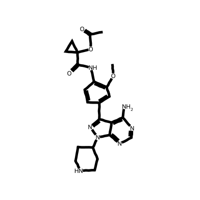 COc1cc(-c2nn(C3CCNCC3)c3ncnc(N)c23)ccc1NC(=O)C1(OC(C)=O)CC1